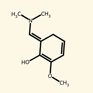 COC1=C(O)C(=CN(C)C)CC=C1